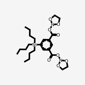 CCC[CH2][Sn]([CH2]CCC)([CH2]CCC)[c]1cc(C(=O)ON2OCCO2)cc(C(=O)ON2OCCO2)c1